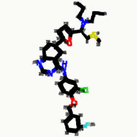 CCCN(CCC)[C@@H](CSC)c1ccc(-c2ccc3ncnc(Nc4ccc(OCc5cccc(F)c5)c(Cl)c4)c3c2)o1